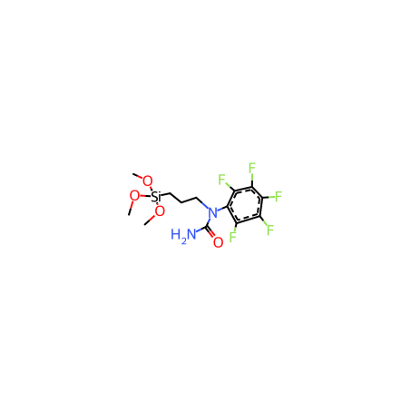 CO[Si](CCCN(C(N)=O)c1c(F)c(F)c(F)c(F)c1F)(OC)OC